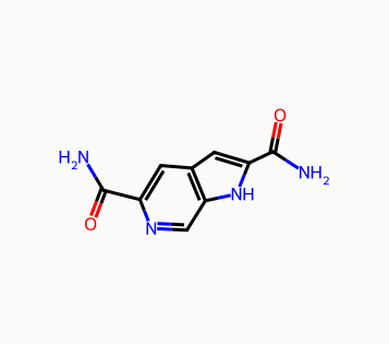 NC(=O)c1cc2cc(C(N)=O)[nH]c2cn1